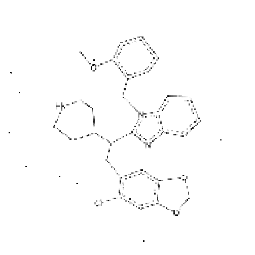 COc1ccccc1Cn1c(C(Cc2cc3c(cc2Cl)OCO3)C2CCNCC2)nc2ccccc21